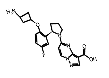 NC1CC(Oc2ccc(F)cc2[C@H]2CCCN2c2ccn3ncc(C(=O)O)c3n2)C1